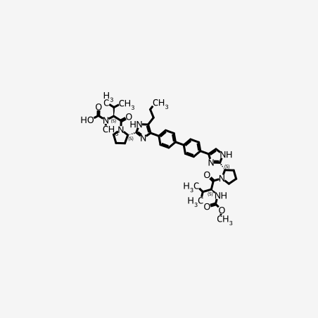 CCCc1[nH]c([C@@H]2CCCN2C(=O)[C@H](C(C)C)N(C)C(=O)O)nc1-c1ccc(-c2ccc(-c3c[nH]c([C@@H]4CCCN4C(=O)[C@@H](NC(=O)OC)C(C)C)n3)cc2)cc1